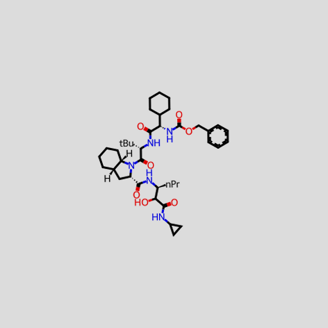 CCC[C@H](NC(=O)[C@@H]1C[C@@H]2CCCC[C@@H]2N1C(=O)[C@@H](NC(=O)[C@@H](NC(=O)OCc1ccccc1)C1CCCCC1)C(C)(C)C)C(O)C(=O)NC1CC1